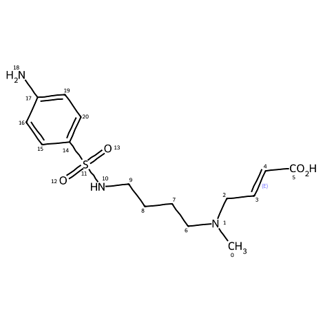 CN(C/C=C/C(=O)O)CCCCNS(=O)(=O)c1ccc(N)cc1